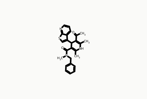 CC(=O)C1=C(C)NC(C)=C(C(=O)N(C)Cc2ccccc2)C1c1csc2ncccc12